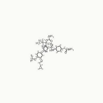 CC(C)(C)C(C)(OC(N)=O)c1oc(-c2ccc(OC(F)F)c(OCC3CC3)c2)nc1C(=O)Nc1ccc(CC(N)=O)cc1